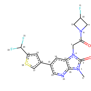 Cn1c(=O)n(CC(=O)N2CC(F)C2)c2cc(-c3csc(C(F)F)c3)cnc21